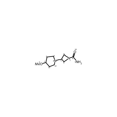 COC1CCN(C2CN(C(N)=O)C2)CC1